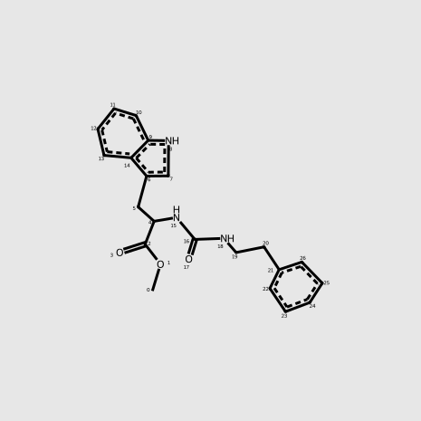 COC(=O)C(Cc1c[nH]c2ccccc12)NC(=O)NCCc1ccccc1